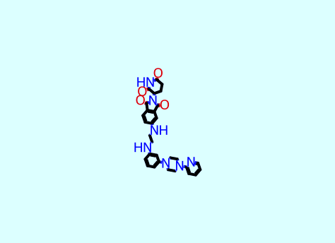 O=C1CCC(N2C(=O)c3ccc(NCCNc4cccc(N5CCN(c6ccccn6)CC5)c4)cc3C2=O)C(=O)N1